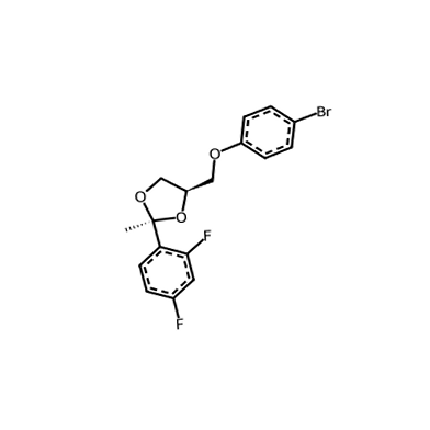 C[C@]1(c2ccc(F)cc2F)OC[C@@H](COc2ccc(Br)cc2)O1